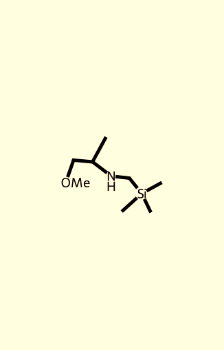 COCC(C)NC[Si](C)(C)C